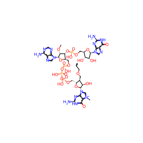 C=CCOC[C@H]1[C@@H](O)[C@H](n2c[n+](C)c3c(=O)[nH]c(N)nc32)O[C@@H]1COP(=O)(O)OP(=O)(O)OP(=O)(O)OC[C@H]1O[C@@H](n2cnc3c(N)ncnc32)[C@H](OC)[C@@H]1OP(=O)(O)OC[C@H]1O[C@@H](n2cnc3c(=O)[nH]c(N)nc32)[C@H](O)[C@@H]1O